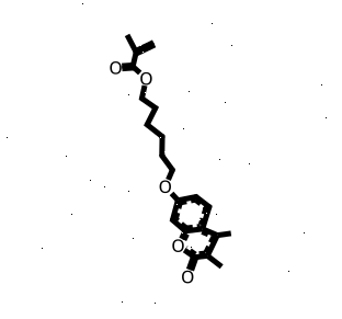 C=C(C)C(=O)OCCCCCCOc1ccc2c(C)c(C)c(=O)oc2c1